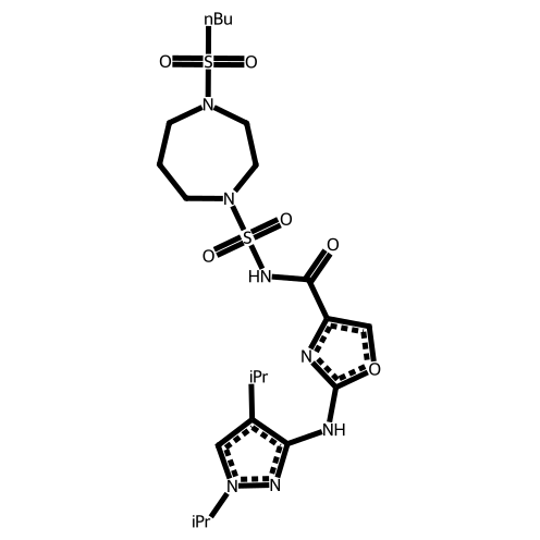 CCCCS(=O)(=O)N1CCCN(S(=O)(=O)NC(=O)c2coc(Nc3nn(C(C)C)cc3C(C)C)n2)CC1